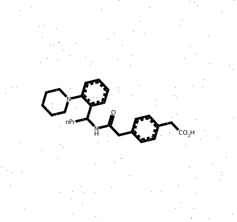 CCCC(NC(=O)Cc1ccc(CC(=O)O)cc1)c1ccccc1N1CCCCC1